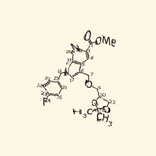 COC(=O)c1cc2c(COCC3COC(C)(C)O3)cn(Cc3ccc(F)cc3)c2cn1